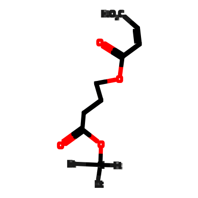 CCOC(=O)/C=C\C(=O)OCCCC(=O)O[Si](CC)(CC)CC